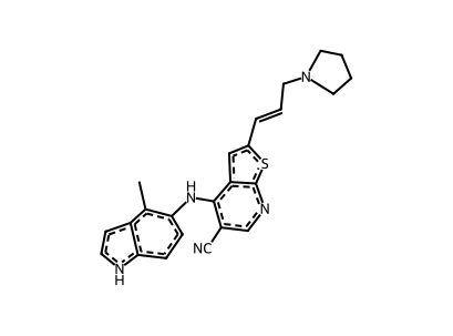 Cc1c(Nc2c(C#N)cnc3sc(C=CCN4CCCC4)cc23)ccc2[nH]ccc12